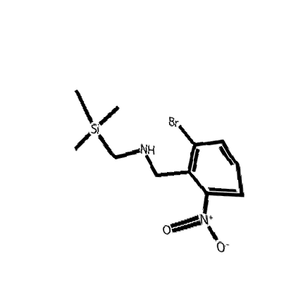 C[Si](C)(C)CNCc1c(Br)cccc1[N+](=O)[O-]